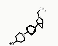 CCN1CC2CC2(c2ccc(N3CCC(O)CC3)cc2)C1